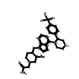 CC(=O)CN1CCC(Cn2ccc3c(N4CCOCC4c4ccc(C(F)(F)F)cc4)ncnc32)C(O)C1